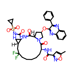 Cc1cc(C(=O)N[C@H]2CCCCCC(F)(F)C[C@@H]3C[C@@]3(C(=O)NS(=O)(=O)C3CC3)NC(=O)[C@@H]3C[C@@H](Oc4nc5ccccc5nc4-c4ccccc4)CN3C2=O)no1